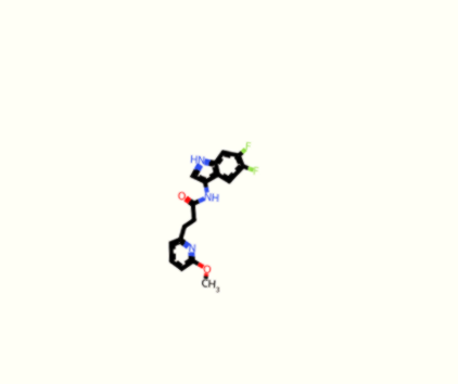 COc1cccc(CCC(=O)Nc2c[nH]c3cc(F)c(F)cc23)n1